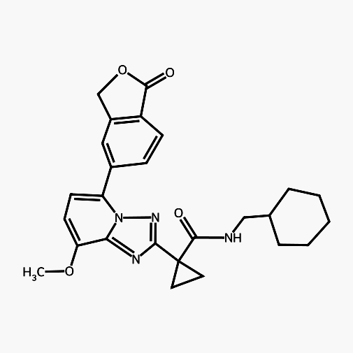 COc1ccc(-c2ccc3c(c2)COC3=O)n2nc(C3(C(=O)NCC4CCCCC4)CC3)nc12